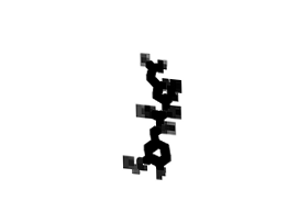 Cc1cc(CNC(=N)Nc2cc(CC(F)F)[nH]n2)ccc1F